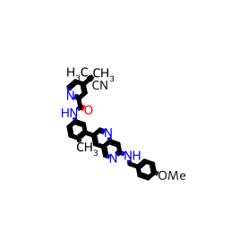 COc1ccc(CNc2cc3ncc(-c4cc(NC(=O)c5cc(C(C)(C)C#N)ccn5)ccc4C)cc3cn2)cc1